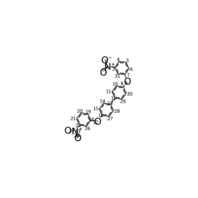 O=[N+]([O-])c1cccc(Oc2ccc(-c3ccc(Oc4cccc([N+](=O)[O-])c4)cc3)cc2)c1